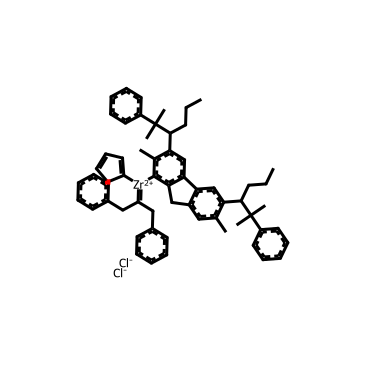 CCCC(c1cc2c(cc1C)Cc1c-2cc(C(CCC)C(C)(C)c2ccccc2)c(C)[c]1[Zr+2]([C]1=CC=CC1)=[C](Cc1ccccc1)Cc1ccccc1)C(C)(C)c1ccccc1.[Cl-].[Cl-]